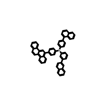 c1cc(-c2ccc3ccccc3c2)cc(N(c2ccc(-c3cccc4ccccc34)cc2)c2ccc(-c3cc4c5ccccc5ccc4c4ccccc34)cc2)c1